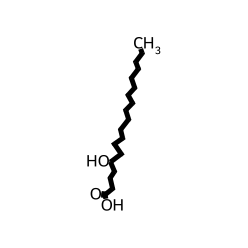 CCCCCCCCCCCCCCC(O)CCCC(=O)O